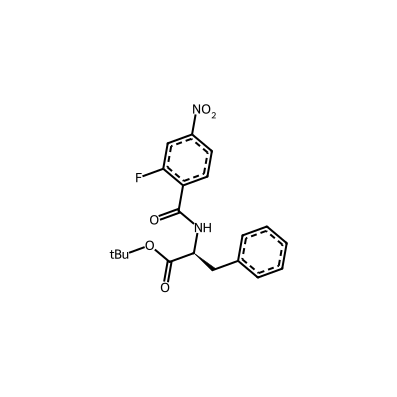 CC(C)(C)OC(=O)[C@H](Cc1ccccc1)NC(=O)c1ccc([N+](=O)[O-])cc1F